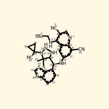 CC(C)(C)CNc1c(C#N)cnc2c(C#N)cc(N[C@@H](c3cccc4ncsc34)C3NNN(C4(C#N)CC4)C3(C)C)cc12